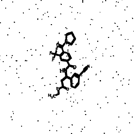 CCOC(=O)CC(NC(=O)c1ccc(C(=O)N2CCCC2)c(C(F)(F)F)c1)c1cccc(C#N)c1